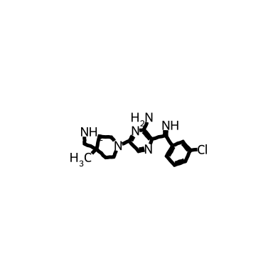 CC1(CN)CCN(c2cnc(C(=N)c3cccc(Cl)c3)c(N)n2)CC1